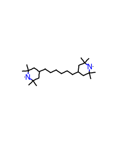 CC1(C)CC(CCCCCCC2CC(C)(C)[N]C(C)(C)C2)CC(C)(C)[N]1